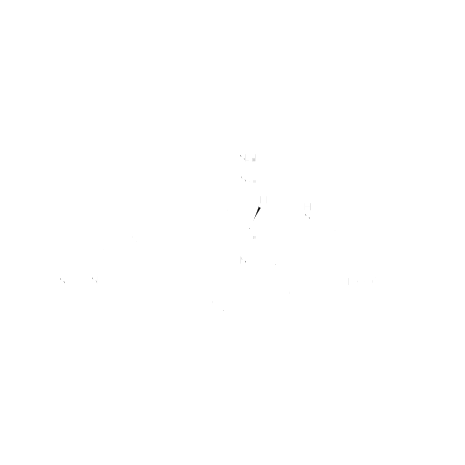 Cc1nnc(SCC2=C(C(=O)O)N3C(=O)C(NC(=O)Cc4ccsc4C(=O)O)[C@H]3SC2)s1.[NaH].[NaH]